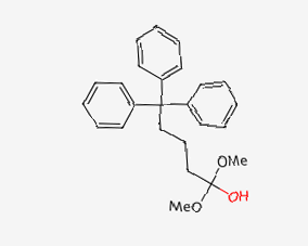 COC(O)(CCCC(c1ccccc1)(c1ccccc1)c1ccccc1)OC